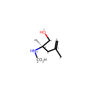 C=C(C)C[C@](C)(CO)NC(=O)O